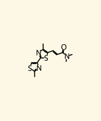 Cc1nc(-c2nc(C)c(C=CC(=O)N(C)C)s2)cs1